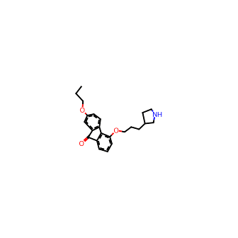 CCCOc1ccc2c(c1)C(=O)c1cccc(OCCCC3CCNC3)c1-2